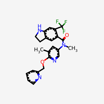 Cc1cc(N(C)C(=O)c2cc3c(cc2C(F)(F)F)NCC3)cnc1OCc1ccccn1